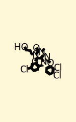 Cn1c(=O)n(CCCO)c(=O)c2c1nc(Oc1cccc(Cl)c1Cl)n2Cc1ccc(Cl)cc1